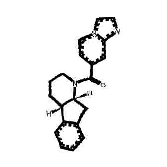 O=C(c1ccn2ccnc2c1)N1CCC[C@H]2c3ccccc3C[C@H]21